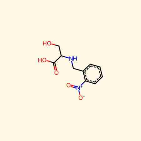 O=C(O)C(CO)NCc1ccccc1[N+](=O)[O-]